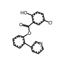 O=C(Oc1ccccc1-c1cccnc1)c1cc(Cl)ccc1O